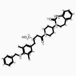 Cc1cc(C[C@@H](CC(=O)N2CCC(N3CCc4ccccc4NC3=O)CC2)C(=O)O)cc(C)c1OCc1ccccc1